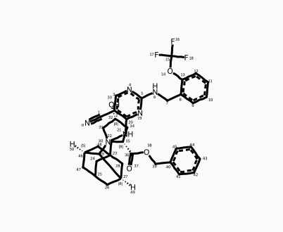 N#Cc1cnc(NCc2ccccc2OC(F)(F)F)nc1NCC12CC3C[C@H](C1)C(N1C[C@H](O)C[C@@H]1C(=O)OCc1ccccc1)[C@@H](C3)C2